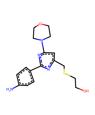 Nc1ccc(-c2nc(CSCCO)cc(N3CCOCC3)n2)cc1